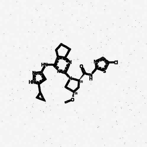 CO[C@H]1C[C@@H](C(=O)Nc2ncc(Cl)s2)N(c2nc3c(c(Nc4cc(C5CC5)[nH]n4)n2)CCC3)C1